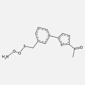 CC(=O)c1ccc(-c2cccc(CSOON)c2)s1